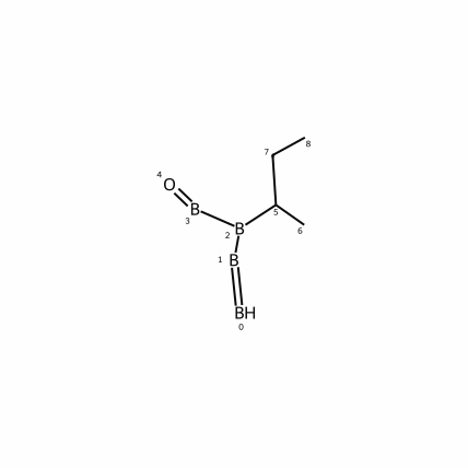 B=BB(B=O)C(C)CC